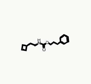 O=C(NCCC1CCC1)OCCCc1ccccc1